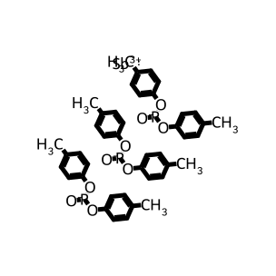 Cc1ccc(OP([O-])Oc2ccc(C)cc2)cc1.Cc1ccc(OP([O-])Oc2ccc(C)cc2)cc1.Cc1ccc(OP([O-])Oc2ccc(C)cc2)cc1.[Sb+3]